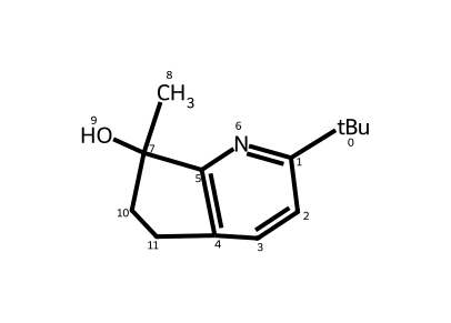 CC(C)(C)c1ccc2c(n1)C(C)(O)CC2